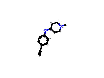 C#Cc1ccc(NC2CCN(C)CC2)cc1